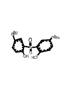 CCCCc1ccc(O)c(S(=O)(=O)c2cc(CCCC)ccc2O)c1